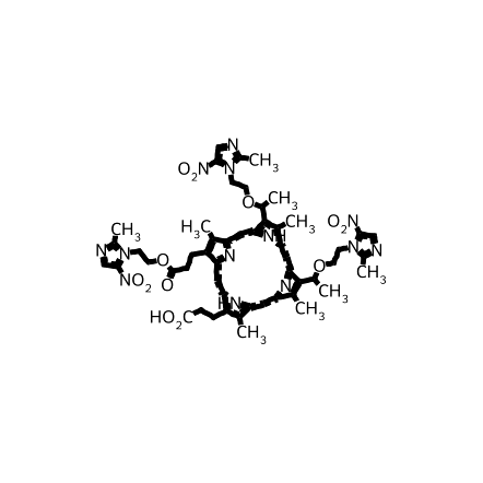 CC1=C(CCC(=O)OCCn2c([N+](=O)[O-])cnc2C)c2cc3[nH]c(cc4nc(cc5[nH]c(cc1n2)c(C(C)OCCn1c([N+](=O)[O-])cnc1C)c5C)C(C(C)OCCn1c([N+](=O)[O-])cnc1C)=C4C)c(C)c3CCC(=O)O